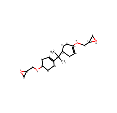 CC(C)(C1=CCC(OCC2CO2)CC1)C1CC=C(OCC2CO2)CC1